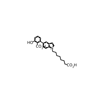 O=C(O)CCCCCCCn1ccc2cc(-c3cccc(O)c3C(=O)O)ccc21